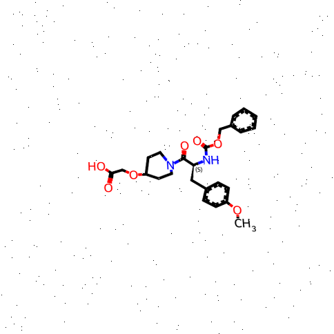 COc1ccc(C[C@H](NC(=O)OCc2ccccc2)C(=O)N2CCC(OCC(=O)O)CC2)cc1